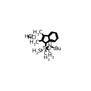 CC1=C(C)[CH]([Ti]([CH3])([CH3])(=[SiH2])[NH]C(C)(C)C)c2ccccc21.Cl.Cl